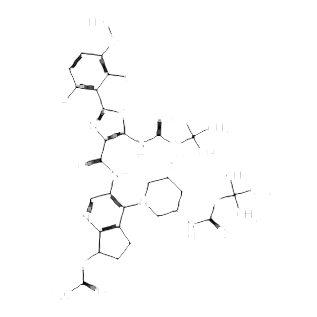 COc1ccc(F)c(-c2nc(C(=O)Nc3cnc4c(c3N3C[C@H](C)C[C@H](NC(=O)OC(C)(C)C)C3)CCC4OC(C)=O)c(NC(=O)OC(C)(C)C)s2)c1F